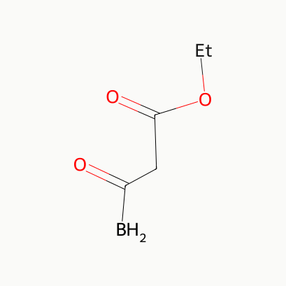 BC(=O)CC(=O)OCC